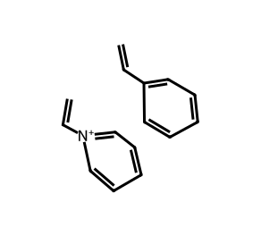 C=C[n+]1ccccc1.C=Cc1ccccc1